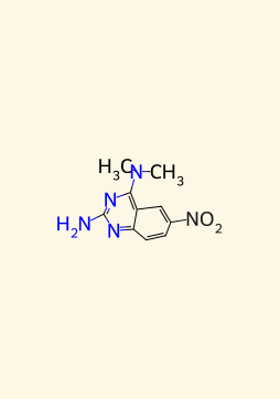 CN(C)c1nc(N)nc2ccc([N+](=O)[O-])cc12